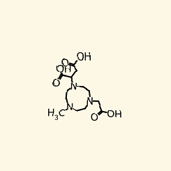 CN1CCN(CC(=O)O)CCN(C(CC(=O)O)C(=O)O)CC1